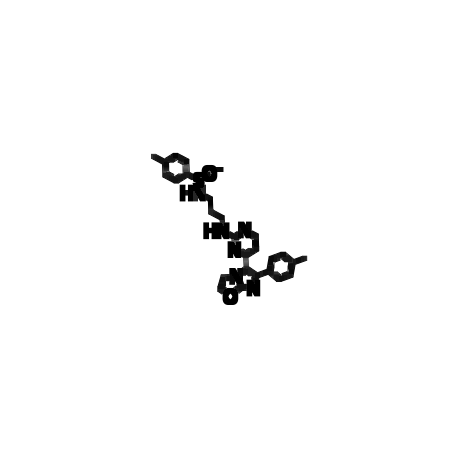 Cc1ccc(-c2nc3occn3c2-c2ccnc(NCCCN[S+]([O-])c3ccc(C)cc3)n2)cc1